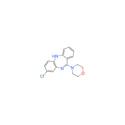 Clc1ccc2c(c1)N=C(N1CCOCC1)c1ccccc1N2